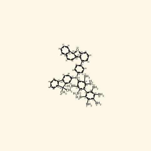 Bc1c(B)c(B)c(-c2c(B)c(B)c(N(c3ccc(-c4cccc5oc6c7ccccc7ccc6c45)cc3)c3ccc4c(c3)C(C)(C)c3ccccc3-4)c(B)c2B)c(B)c1B